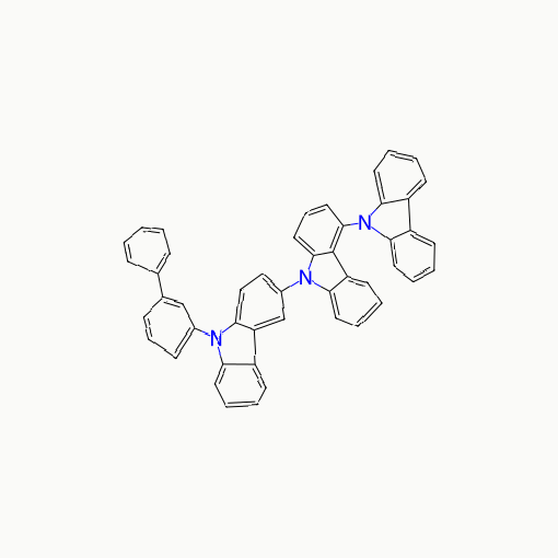 c1ccc(-c2cccc(-n3c4ccccc4c4cc(-n5c6ccccc6c6c(-n7c8ccccc8c8ccccc87)cccc65)ccc43)c2)cc1